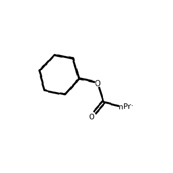 CC[CH]C(=O)OC1CCCCC1